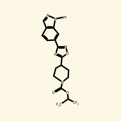 CC(C)n1ncc2ccc(-c3noc(C4CCN(C(=O)OC(C(F)(F)F)C(F)(F)F)CC4)n3)cc21